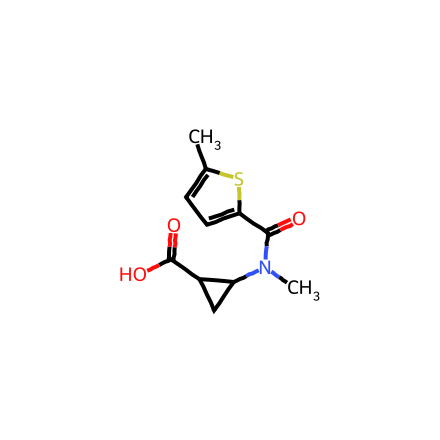 Cc1ccc(C(=O)N(C)C2CC2C(=O)O)s1